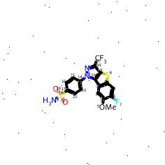 COc1cc2c(cc1F)sc1c(C(F)(F)F)nn(-c3ccc(S(N)(=O)=O)cc3)c12